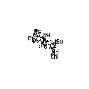 CCOc1cc2c(c(F)c1OCC)C(=N)N(CC(=O)c1cc(NCC#N)cc(C(C)(C)C)c1)C21CC1